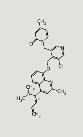 C=C/C=C(/c1cc(C)nc2c(OCc3c(Cl)cncc3Cn3ccc(C)cc3=O)cccc12)N(C)C